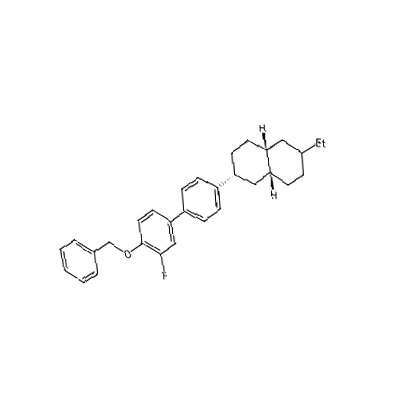 CCC1CC[C@@H]2C[C@H](c3ccc(-c4ccc(OCc5ccccc5)c(F)c4)cc3)CC[C@@H]2C1